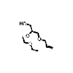 C=CCOCC(O)CO.CCOCC